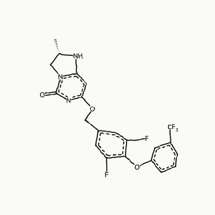 C[C@H]1Cn2c(cc(OCc3cc(F)c(Oc4cccc(C(F)(F)F)c4)c(F)c3)nc2=O)N1